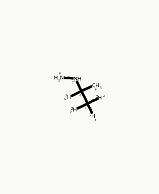 [2H]C([2H])([2H])C([2H])(C)NN